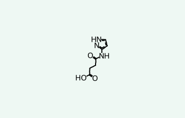 O=C(O)CCC(=O)Nc1cc[nH]n1